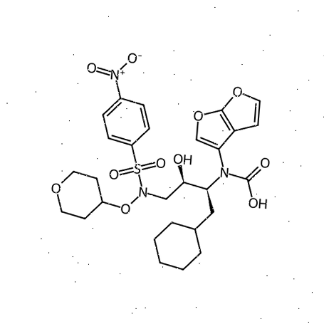 O=C(O)N(c1coc2occc12)[C@@H](CC1CCCCC1)[C@H](O)CN(OC1CCOCC1)S(=O)(=O)c1ccc([N+](=O)[O-])cc1